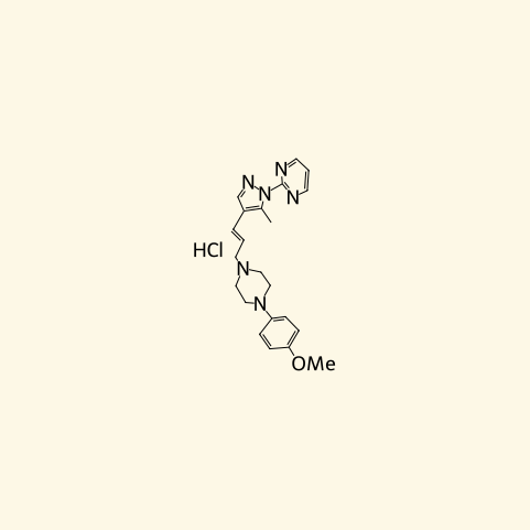 COc1ccc(N2CCN(C/C=C/c3cnn(-c4ncccn4)c3C)CC2)cc1.Cl